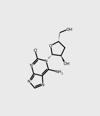 Nc1c2ncnc-2nc(Cl)n1[C@@H]1O[C@H](CO)C[C@H]1O